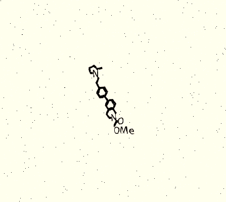 COCC(=O)N1CCc2cc(-c3ccc(CCN4CCCC4C)cc3)ccc2C1